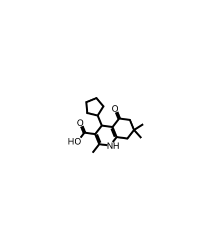 CC1=C(C(=O)O)C(C2CCCC2)C2=C(CC(C)(C)CC2=O)N1